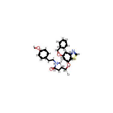 COc1ccc(CCN2C[C@H]([C@@H](C)Oc3cc(OCc4ccccc4)cc4ncsc34)CC2=O)cc1